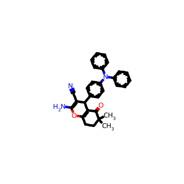 CC1(C)CCC2=C(C1=O)C(c1ccc(N(c3ccccc3)c3ccccc3)cc1)C(C#N)=C(N)O2